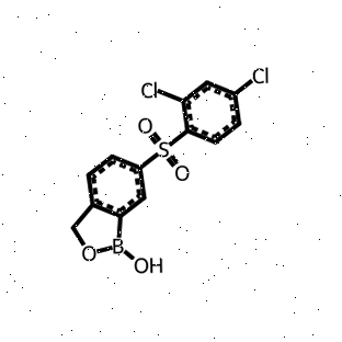 O=S(=O)(c1ccc2c(c1)B(O)OC2)c1ccc(Cl)cc1Cl